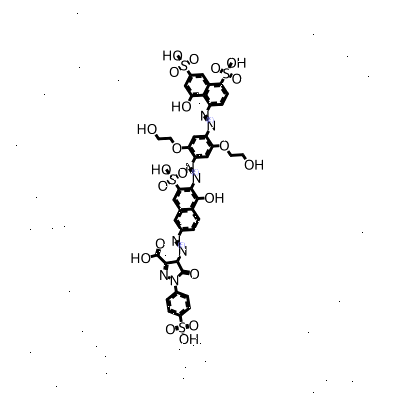 O=C(O)C1=NN(c2ccc(S(=O)(=O)O)cc2)C(=O)C1/N=N/c1ccc2c(O)c(/N=N/c3cc(OCCO)c(/N=N/c4ccc(S(=O)(=O)O)c5cc(S(=O)(=O)O)cc(O)c45)cc3OCCO)c(S(=O)(=O)O)cc2c1